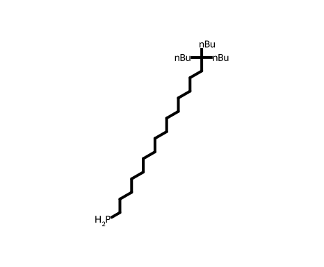 CCCCC(CCCC)(CCCC)CCCCCCCCCCCCCCCP